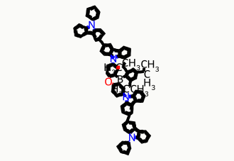 CC(C)c1cc(C(C)C)c(B2c3cc(-n4c5ccccc5c5cc(-c6ccc7c(c6)c6ccccc6n7-c6ccccc6)ccc54)ccc3Oc3ccc(-n4c5ccccc5c5cc(-c6ccc7c(c6)c6ccccc6n7-c6ccccc6)ccc54)cc32)c(C(C)C)c1